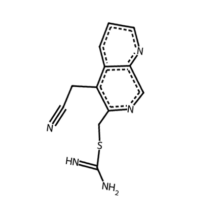 N#CCc1c(CSC(=N)N)ncc2ncccc12